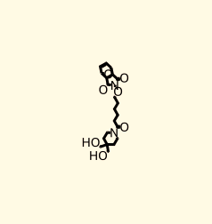 O=C(CCCCCON1C(=O)C2C3C=CC(O3)C2C1=O)N1CCC(CO)(CO)CC1